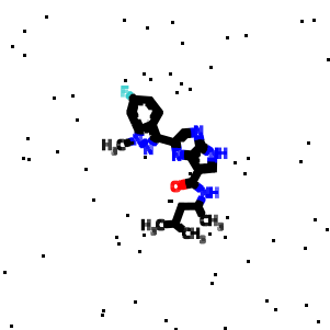 CC(C)CC(C)NC(=O)c1c[nH]c2ncc(-c3nn(C)c4cc(F)ccc34)nc12